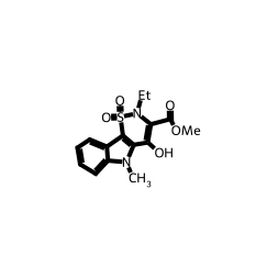 CCN1C(C(=O)OC)=C(O)c2c(c3ccccc3n2C)S1(=O)=O